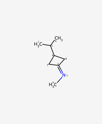 CN=C1CC(C(C)C)C1